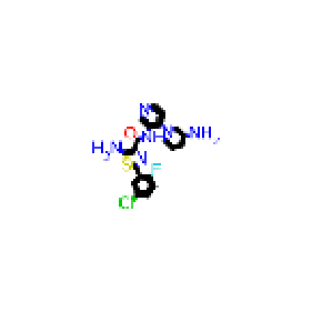 Nc1sc(-c2cc(Cl)ccc2F)nc1C(=O)Nc1cnccc1N1CCCC(N)C1